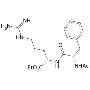 CCOC(=O)[C@H](CCCNC(=N)N)NC(=O)[C@H](Cc1ccccc1)NC(C)=O